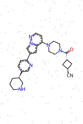 N#C[C@H]1C[C@H](C(=O)N2CCN(c3ccnn4cc(-c5ccc([C@@H]6CCCNC6)cn5)cc34)CC2)C1